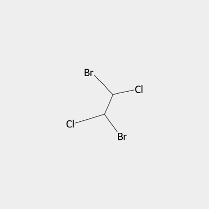 ClC(Br)C(Cl)Br